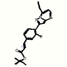 CCc1ccnc2cc(-c3ccc(/C=C/C(=O)OC(C)(C)C)cc3F)nn12